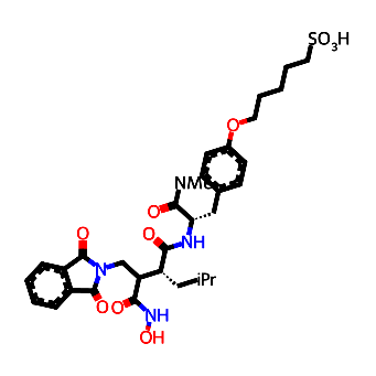 CNC(=O)[C@H](Cc1ccc(OCCCCCS(=O)(=O)O)cc1)NC(=O)[C@H](CC(C)C)C(CN1C(=O)c2ccccc2C1=O)C(=O)NO